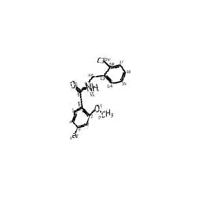 COc1cc(Br)ccc1C(=O)NCc1ccccc1Cl